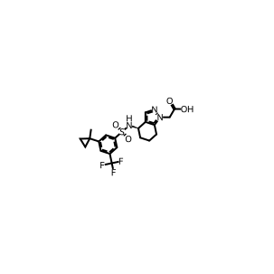 CC1(c2cc(C(F)(F)F)cc(S(=O)(=O)N[C@@H]3CCCc4c3cnn4CC(=O)O)c2)CC1